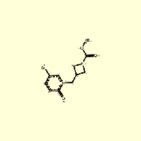 CC(C)(C)OC(=O)N1CC(Cn2cc(Br)ccc2=O)C1